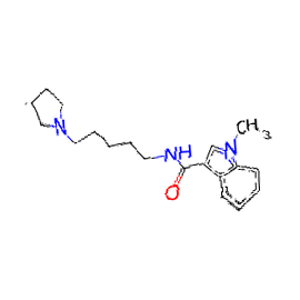 Cn1cc(C(=O)NCCCCCN2C[CH]CC2)c2ccccc21